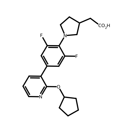 O=C(O)CC1CCN(c2c(F)cc(-c3cccnc3OC3CCCC3)cc2F)C1